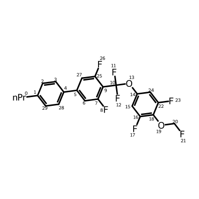 CCCc1ccc(-c2cc(F)c(C(F)(F)Oc3cc(F)c(OCF)c(F)c3)c(F)c2)cc1